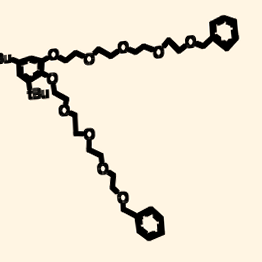 CC(C)(C)c1cc(OCCOCCOCCOCCOCc2ccccc2)c(OCCOCCOCCOCCOCc2ccccc2)c(C(C)(C)C)c1